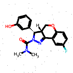 CN(C)C(=O)N1N=C2c3cc(F)ccc3OC[C@H]2[C@H]1c1cccc(O)c1